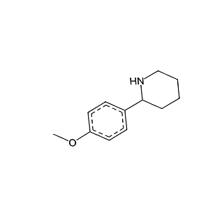 COc1ccc(C2CCCCN2)cc1